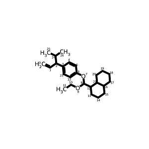 C=CC(c1ccc(OC(OCC)C2CCCC3CCCCC32)cc1)C(C)C